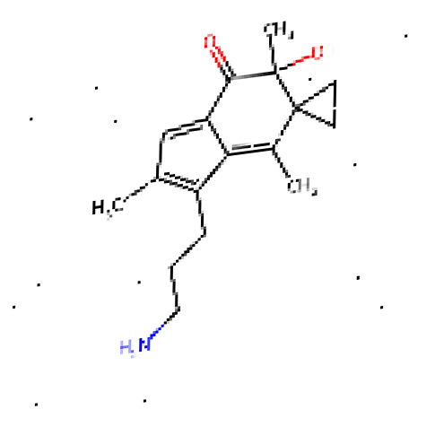 CC1=C(CCCN)C2=C(C)C3(CC3)C(C)(O)C(=O)C2=C1